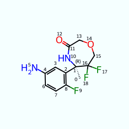 C[C@]1(c2cc(N)ccc2F)NC(=O)COCC1(F)F